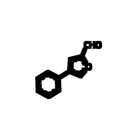 O=Cc1cc(-c2ccccc2)co1